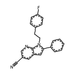 N#Cc1cnc2c(c1)cc(-c1ccccc1)n2CCc1ccc(F)cc1